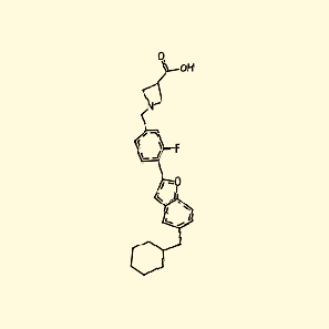 O=C(O)C1CN(Cc2ccc(-c3cc4cc(CC5CCCCC5)ccc4o3)c(F)c2)C1